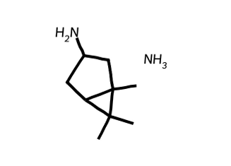 CC1(C)C2CC(N)CC21C.N